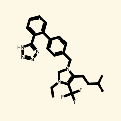 CCN1CN(Cc2ccc(-c3ccccc3-c3nnn[nH]3)cc2)C(CCC(C)C)=C1C(F)(F)F